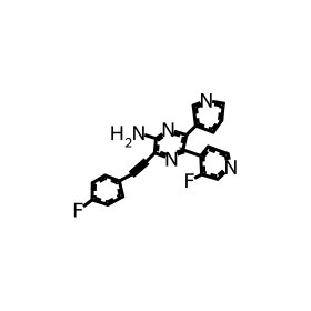 Nc1nc(-c2cccnc2)c(-c2ccncc2F)nc1C#Cc1ccc(F)cc1